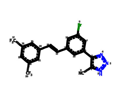 N#Cc1[nH]nnc1-c1cc(Br)cc(/C=C/c2cc(C(F)(F)F)cc(C(F)(F)F)c2)c1